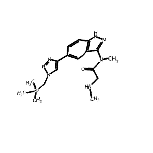 CNCC(=O)N(C)c1n[nH]c2ccc(-c3cn(C[Si](C)(C)C)nn3)cc12